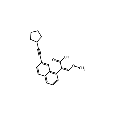 COC=C(C(=O)O)c1cccc2ccc(C#CC3CCCC3)cc12